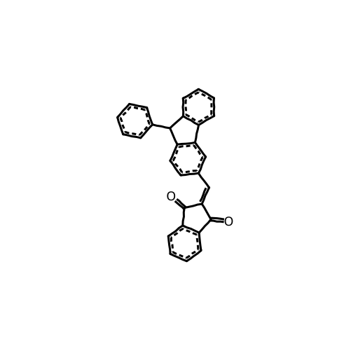 O=C1C(=Cc2ccc3c(c2)-c2ccccc2C3c2ccccc2)C(=O)c2ccccc21